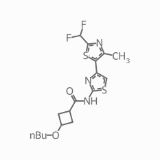 CCCCOC1CC(C(=O)Nc2nc(-c3sc(C(F)F)nc3C)cs2)C1